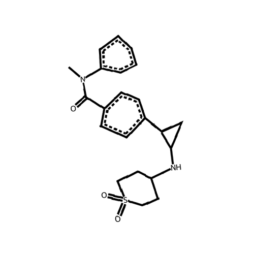 CN(C(=O)c1ccc(C2CC2NC2CCS(=O)(=O)CC2)cc1)c1ccccc1